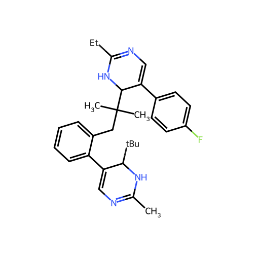 CCC1=NC=C(c2ccc(F)cc2)C(C(C)(C)Cc2ccccc2C2=CN=C(C)NC2C(C)(C)C)N1